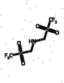 O=S(=O)(CNCS(=O)(=O)C(F)(F)F)C(F)(F)F